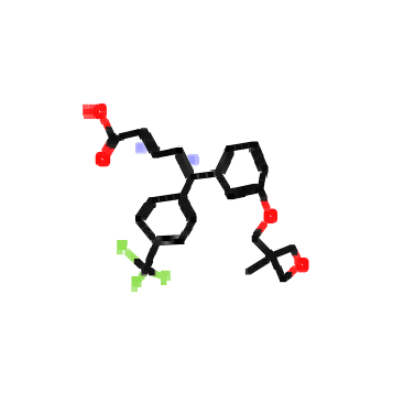 CC1(COc2cccc(/C(=C/C=C/C(=O)O)c3ccc(C(F)(F)F)cc3)c2)COC1